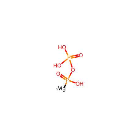 O=P(O)(O)O[P](=O)(O)[Mg]